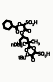 CCCCCCCCCCCC(CC(C)(C)C(=O)OC(C(=O)OC(C)(C)C)S(=O)(=O)O)OC(=O)C(OC(=O)C1CCCCC1)S(=O)(=O)O